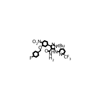 CC(C)(C)n1nc(-c2ccc([N+](=O)[O-])c(OCc3ccc(F)cc3)c2)c(C(N)=O)c1Nc1cccc(C(F)(F)F)n1